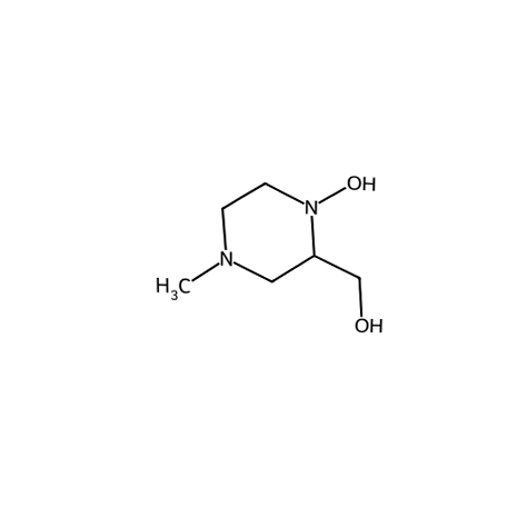 CN1CCN(O)C(CO)C1